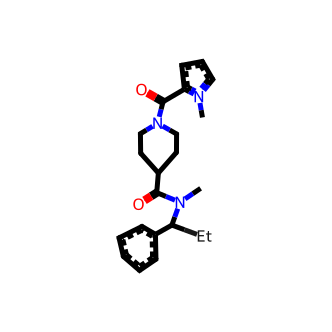 CCC(c1ccccc1)N(C)C(=O)C1CCN(C(=O)c2cccn2C)CC1